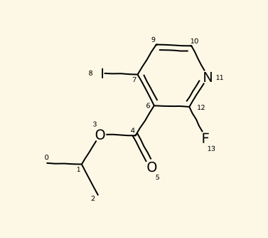 CC(C)OC(=O)c1c(I)ccnc1F